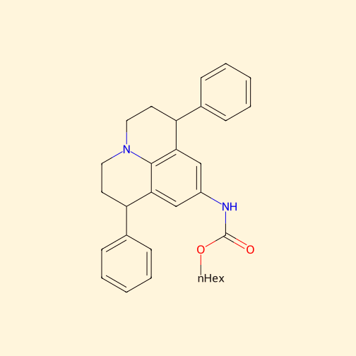 CCCCCCOC(=O)Nc1cc2c3c(c1)C(c1ccccc1)CCN3CCC2c1ccccc1